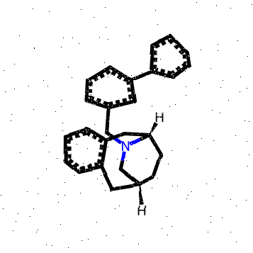 c1ccc(-c2cccc(CN3C[C@@H]4CC[C@H]3Cc3ccccc3C4)c2)cc1